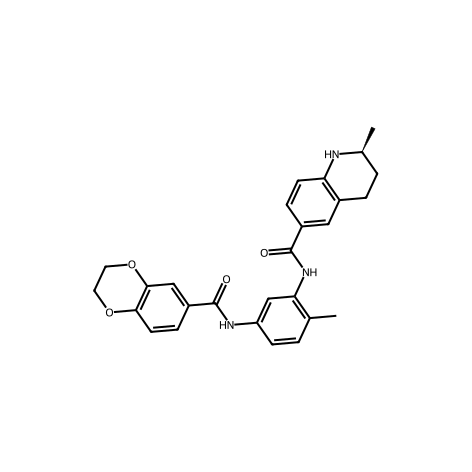 Cc1ccc(NC(=O)c2ccc3c(c2)OCCO3)cc1NC(=O)c1ccc2c(c1)CC[C@H](C)N2